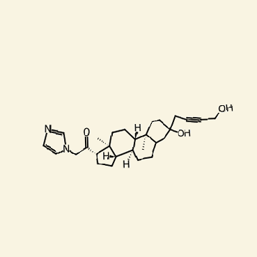 C[C@]12CC[C@H]3[C@@H](CCC4CC(O)(CC#CCO)CC[C@@]43C)[C@@H]1CC[C@@H]2C(=O)Cn1ccnc1